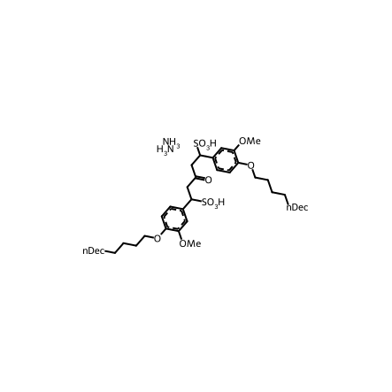 CCCCCCCCCCCCCCOc1ccc(C(CC(=O)CC(c2ccc(OCCCCCCCCCCCCCC)c(OC)c2)S(=O)(=O)O)S(=O)(=O)O)cc1OC.N.N